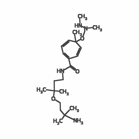 CNN(C)OC1(C)C=CC=C(C(=O)NCCC(C)(C)OCCC(C)(C)N)C=C1